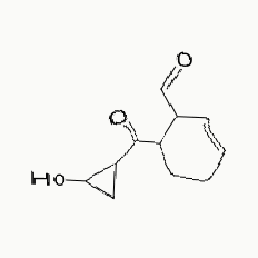 O=CC1C=CCCC1C(=O)C1CC1O